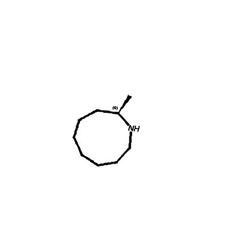 C[C@@H]1CCCCCCCN1